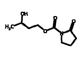 CC(O)CCOC(=O)N1CCCC1=O